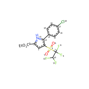 CCOC(=O)c1cc(S(=O)(=O)C(F)(F)C(F)F)c(-c2ccc(Cl)cc2)[nH]1